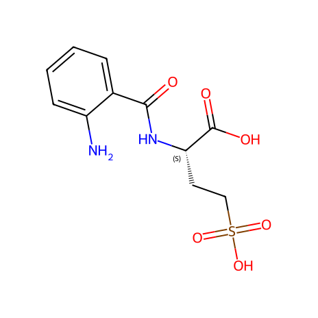 Nc1ccccc1C(=O)N[C@@H](CCS(=O)(=O)O)C(=O)O